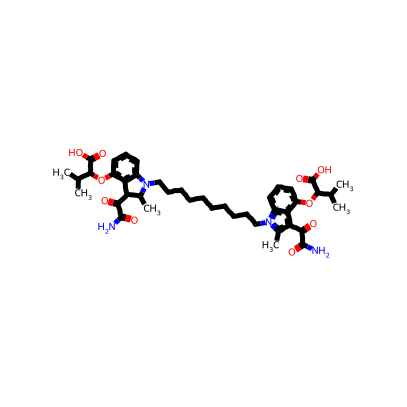 Cc1c(C(=O)C(N)=O)c2c(OC(C(=O)O)C(C)C)cccc2n1CCCCCCCCCCN1c2cccc(OC(C(=O)O)C(C)C)c2C(C(=O)C(N)=O)C1C